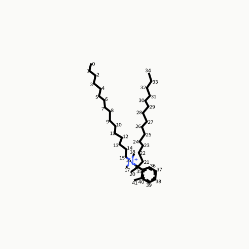 CCCCCCCCCCCCCCCC[N+](C)(C)C(C)(CCCCCCCCCCCCCC)c1ccccc1C